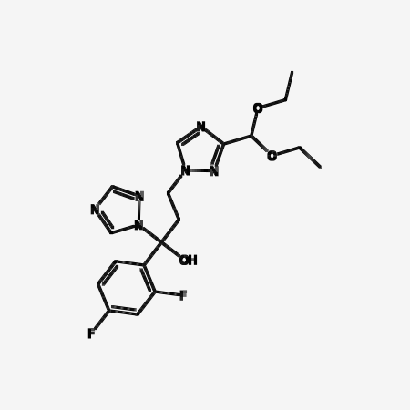 CCOC(OCC)c1ncn(CCC(O)(c2ccc(F)cc2F)n2cncn2)n1